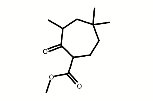 COC(=O)C1CCC(C)(C)CC(C)C1=O